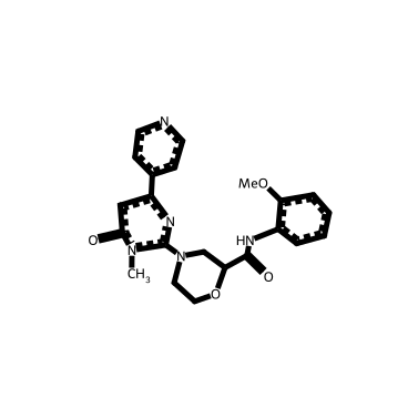 COc1ccccc1NC(=O)C1CN(c2nc(-c3ccncc3)cc(=O)n2C)CCO1